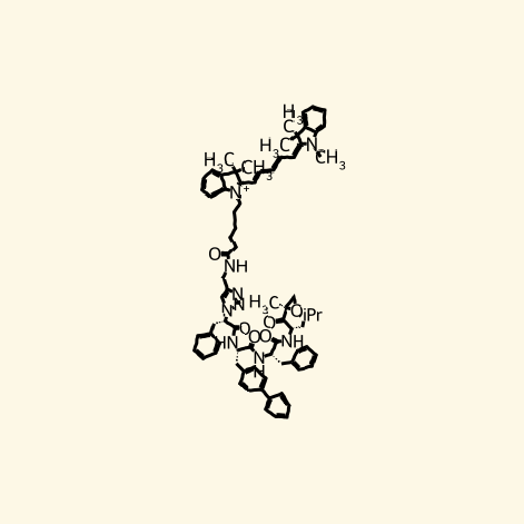 CC(C)C[C@H](NC(=O)[C@H](Cc1ccccc1)NC(=O)[C@H](Cc1ccc(-c2ccccc2)cc1)NC(=O)[C@H](Cc1ccccc1)n1cc(CNC(=O)CCCCC[N+]2=C(/C=C/C=C/C=C3/N(C)c4ccccc4C3(C)C)C(C)(C)c3ccccc32)nn1)C(=O)[C@@]1(C)CO1